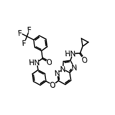 O=C(Nc1cccc(Oc2ccc3nc(NC(=O)C4CC4)cn3n2)c1)c1cccc(C(F)(F)F)c1